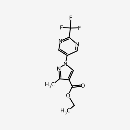 CCOC(=O)c1cn(-c2cnc(C(F)(F)F)nc2)nc1C